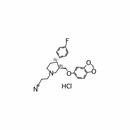 Cl.N#CCCN1CC[C@H](c2ccc(F)cc2)[C@@H](COc2ccc3c(c2)OCO3)C1